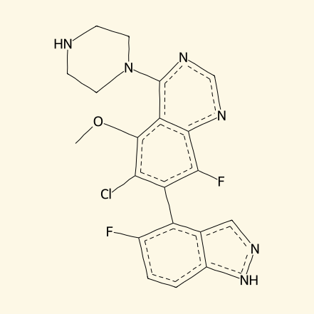 COc1c(Cl)c(-c2c(F)ccc3[nH]ncc23)c(F)c2ncnc(N3CCNCC3)c12